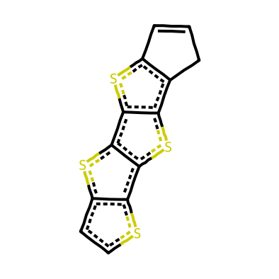 C1=Cc2sc3c(sc4c5sccc5sc34)c2C1